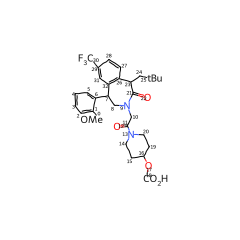 COc1ccccc1C1CN(CC(=O)N2CCC(OC(=O)O)CC2)C(=O)C(CC(C)(C)C)c2ccc(C(F)(F)F)cc21